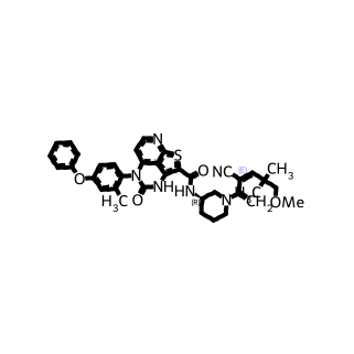 C=C(/C(C#N)=C\C(C)(C)COC)N1CCC[C@@H](NC(=O)c2sc3nccc4c3c2NC(=O)N4c2ccc(Oc3ccccc3)cc2C)C1